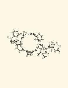 CCn1c(-c2cccnc2[C@H](C)OC)c2c3cc(ccc31)-c1csc(n1)C[C@H](NC(=O)[C@H](C(C)C)N(C)C(=O)N1C[C@H]3CCN(C)C[C@H]31)C(=O)N1CCC[C@](C=O)(COCC(C)(C)C2)N1